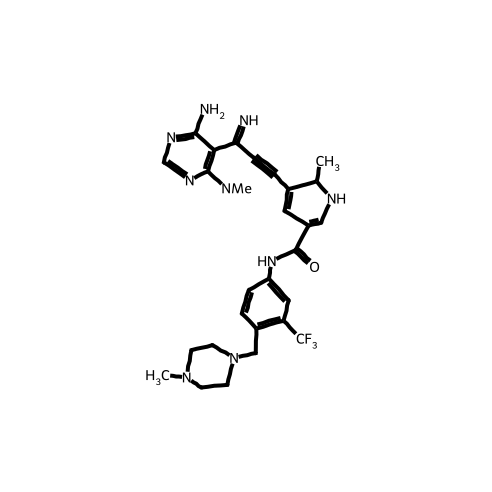 CNc1ncnc(N)c1C(=N)C#CC1=CC(C(=O)Nc2ccc(CN3CCN(C)CC3)c(C(F)(F)F)c2)=CNC1C